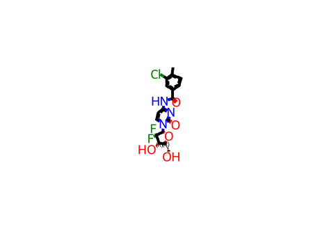 Cc1ccc(C(=O)Nc2ccn(C3O[C@H](CO)[C@@H](O)C3(F)F)c(=O)n2)cc1Cl